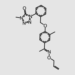 C=CCON=C(C)c1ccc(OCc2ccccc2-n2nnn(C)c2=O)c(C)c1